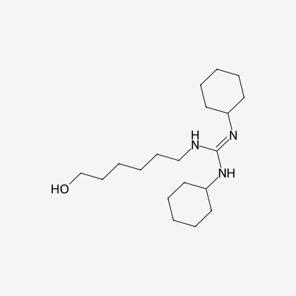 OCCCCCCN/C(=N\C1CCCCC1)NC1CCCCC1